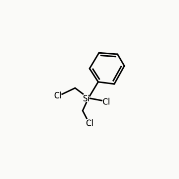 ClC[Si](Cl)(CCl)c1ccccc1